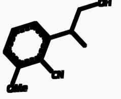 COc1cccc([C](C)CO)c1C#N